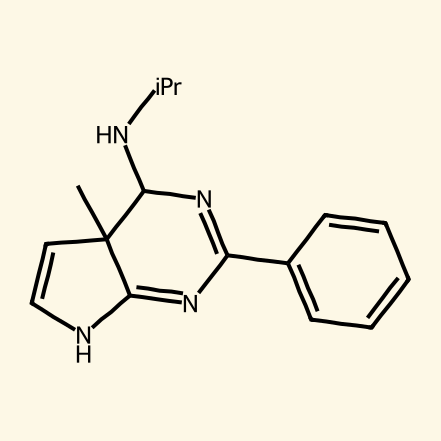 CC(C)NC1N=C(c2ccccc2)N=C2NC=CC21C